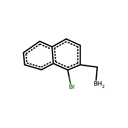 BCc1ccc2ccccc2c1Br